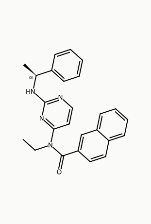 CCN(C(=O)c1ccc2ccccc2c1)c1ccnc(N[C@@H](C)c2ccccc2)n1